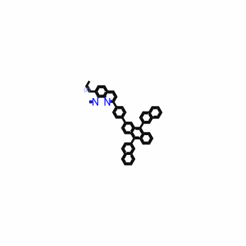 C=Nc1c(/C=C\C)ccc2ccc(-c3ccc(-c4ccc5c(-c6ccc7ccccc7c6)c6ccccc6c(-c6ccc7ccccc7c6)c5c4)cc3)nc12